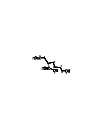 CCCCCCCCCCCCCCCCO.CCCCCCCCCCO